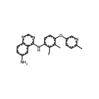 Cc1ccc(Oc2ccc(Nc3ncnc4ccc(N)cc34)c(F)c2C)cn1